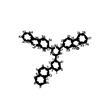 c1cc(-c2ccc3ccccc3c2)cc(-c2cc(-c3ccc4c(c3)sc3ccccc34)nc(-c3ccc4c(c3)sc3ccccc34)n2)c1